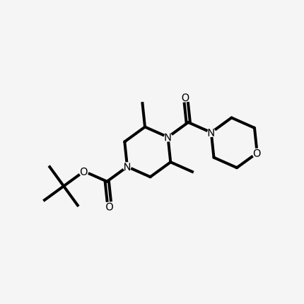 CC1CN(C(=O)OC(C)(C)C)CC(C)N1C(=O)N1CCOCC1